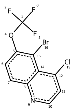 FC(F)(F)Oc1ccc2nccc(Cl)c2c1Br